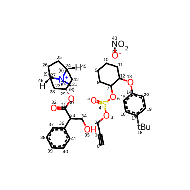 C#CCOS(=O)OC1CCCCC1Oc1ccc(C(C)(C)C)cc1.C[N+]1(C)[C@@H]2CC[C@H]1C[C@@H](OC(=O)C(CO)c1ccccc1)C2.O=[N+]([O-])[O-]